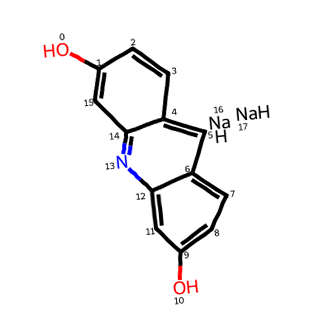 Oc1ccc2cc3ccc(O)cc3nc2c1.[NaH].[NaH]